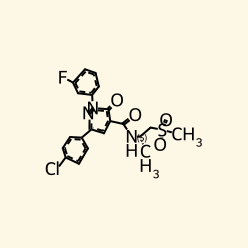 C[C@@H](CS(C)(=O)=O)NC(=O)c1cc(-c2ccc(Cl)cc2)nn(-c2cccc(F)c2)c1=O